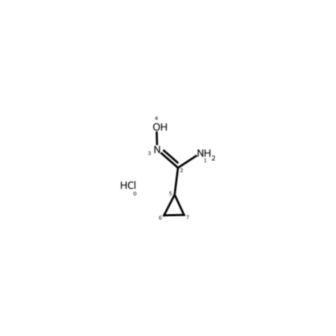 Cl.NC(=NO)C1CC1